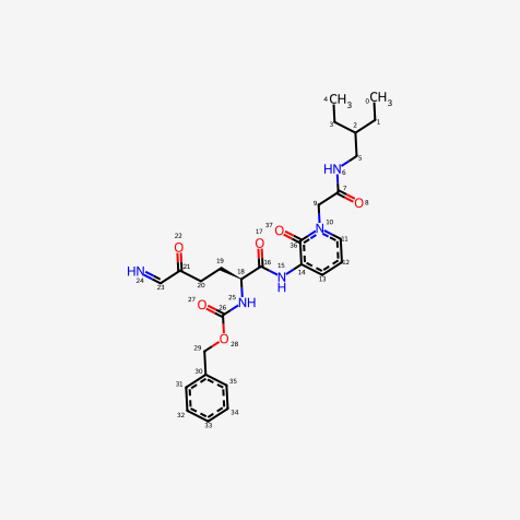 CCC(CC)CNC(=O)Cn1cccc(NC(=O)[C@H](CCC(=O)C=N)NC(=O)OCc2ccccc2)c1=O